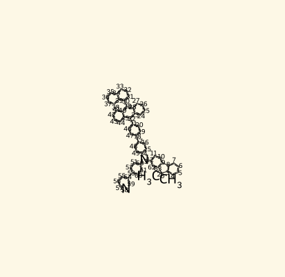 CC1(C)c2ccccc2-c2ccc(N(c3ccc(-c4ccc(-c5c6ccccc6c(-c6cccc7ccccc67)c6ccccc56)cc4)cc3)c3ccc(-c4cccnc4)cc3)cc21